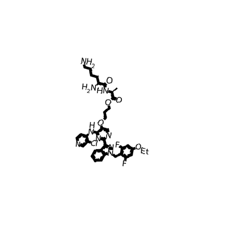 CCOc1cc(F)c(Cn2nc(-c3ncc(OCCCOC(=O)[C@H](C)NC(=O)[C@@H](N)CCCCN)c(Nc4ccncc4Cl)n3)c3ccccc32)c(F)c1